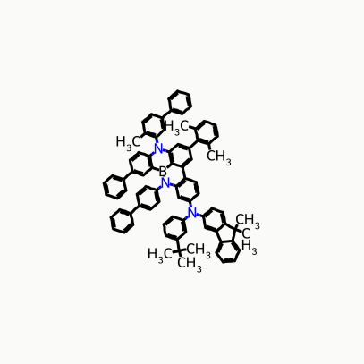 Cc1ccc(-c2ccccc2)cc1N1c2ccc(-c3ccccc3)cc2B2c3c(cc(-c4c(C)cccc4C)cc31)-c1ccc(N(c3cccc(C(C)(C)C)c3)c3ccc4c(c3)-c3ccccc3C4(C)C)cc1N2c1ccc(-c2ccccc2)cc1